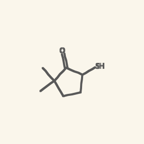 CC1(C)CCC(S)C1=O